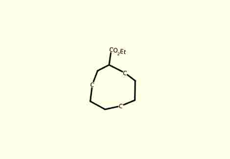 CCOC(=O)C1CCCCCCCC1